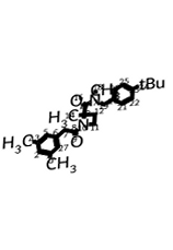 Cc1cc(C)cc(CC(=O)N2CCC2(C)C(=O)N(C)Cc2ccc(C(C)(C)C)cc2)c1